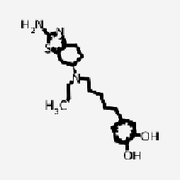 CCCN(CCCCCc1ccc(O)c(O)c1)[C@@H]1CCc2nc(N)sc2C1